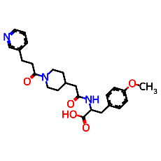 COc1ccc(CC(NC(=O)CC2CCN(C(=O)CCc3cccnc3)CC2)C(=O)O)cc1